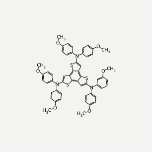 COc1ccc(N(c2ccc(OC)cc2)c2cc3c(s2)c2cc(N(c4ccc(OC)cc4)c4ccc(OC)cc4)sc2c2cc(N(c4ccc(OC)cc4)c4cccc(OC)c4)sc32)cc1